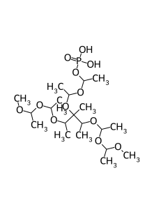 COC(C)OC(C)OC(C)C(C)(OC(C)OC(C)OP(=O)(O)O)C(C)OC(C)OC(C)OC